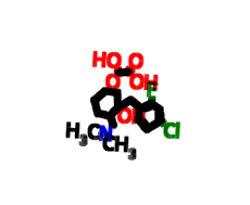 CN(C)CC1CCCCC1(O)Cc1ccc(Cl)cc1F.O=C(O)C(=O)O